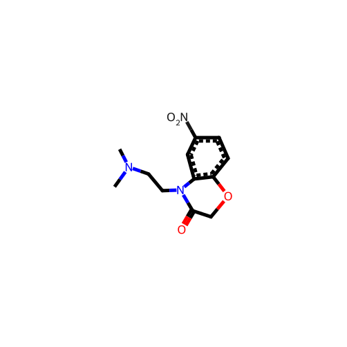 CN(C)CCN1C(=O)COc2ccc([N+](=O)[O-])cc21